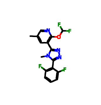 Cc1cnc(OC(F)F)c(-c2nnc(-c3c(F)cccc3F)n2C)c1